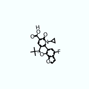 CC(C)(C)[C@@H]1Oc2c(cc(F)c3ccoc23)-c2c1cc(C(=O)O)c(=O)n2C1CC1